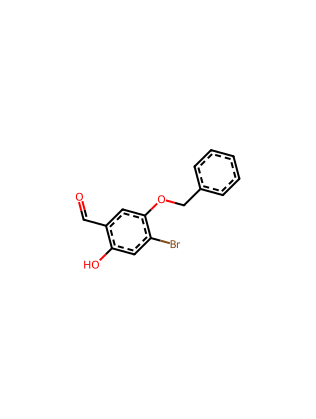 O=Cc1cc(OCc2ccccc2)c(Br)cc1O